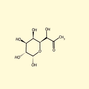 CC(=O)C(O)[C@H]1O[C@H](O)[C@H](O)[C@@H](O)[C@H]1O